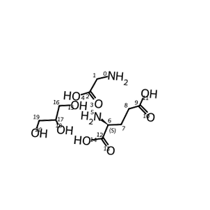 NCC(=O)O.N[C@@H](CCC(=O)O)C(=O)O.OCC(O)CO